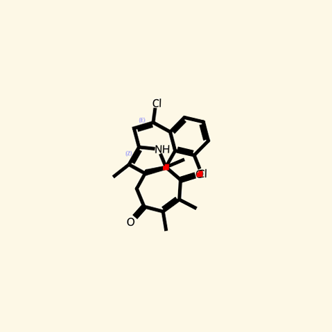 CC1=C(C)C(=O)C(C)(NC2=C(/C)CCc3c(Cl)cccc3/C(Cl)=C\2)CCC1=O